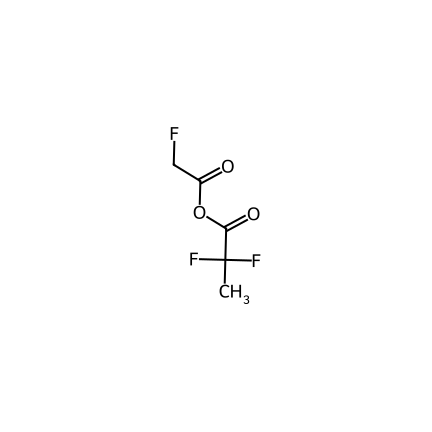 CC(F)(F)C(=O)OC(=O)CF